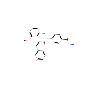 CNC(=O)c1ccc(N(Cc2ccc(O)c(OC)c2)C(=O)C=Cc2ccc(O)c(OC)c2)cc1